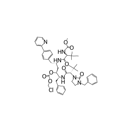 COC(=O)N[C@H](C(=O)N[C@@H](Cc1ccc(-c2ccccn2)cc1)C[C@H](OC(=O)OCCl)[C@H](Cc1ccccc1)NC(=O)[C@@H](N1CCN(Cc2ccccc2)C1=O)C(C)(C)C)C(C)(C)C